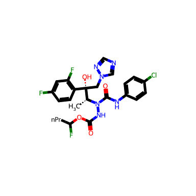 CCCC(F)OC(=O)NN(C(=O)Nc1ccc(Cl)cc1)[C@H](C)[C@](O)(Cn1cncn1)c1ccc(F)cc1F